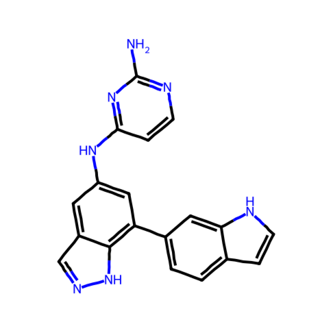 Nc1nccc(Nc2cc(-c3ccc4cc[nH]c4c3)c3[nH]ncc3c2)n1